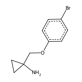 NC1(COc2ccc(Br)cc2)CC1